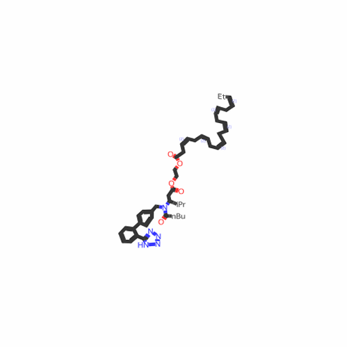 CC/C=C\C/C=C\C/C=C\C/C=C\C/C=C\C/C=C\CC(=O)OCCOC(=O)CC(C(C)C)N(Cc1ccc(-c2ccccc2-c2nnn[nH]2)cc1)C(=O)CCCC